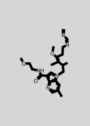 C=N/C=N\CC/C(OC)=C(/C)C(C)Cn1cc(C(=O)NCCOC)c2ncc(C)cc21